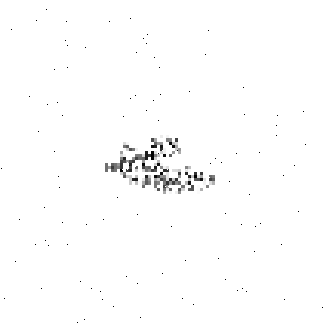 CC1COCCN1c1nc(-c2cccc3[nH]ccc23)nc2c1CN(C(=O)c1ccc(OC(F)F)cc1)C2(C)C